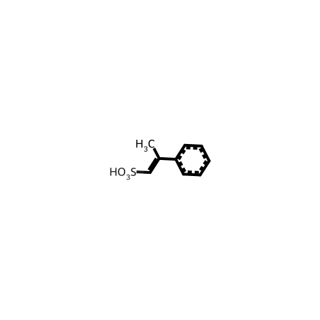 CC(=CS(=O)(=O)O)c1ccccc1